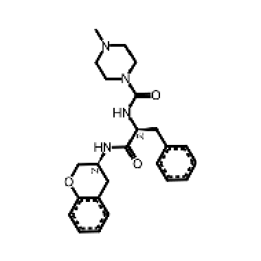 CN1CCN(C(=O)N[C@@H](Cc2ccccc2)C(=O)N[C@@H]2COc3ccccc3C2)CC1